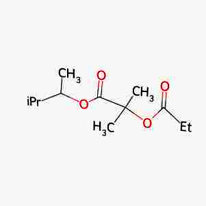 CCC(=O)OC(C)(C)C(=O)OC(C)C(C)C